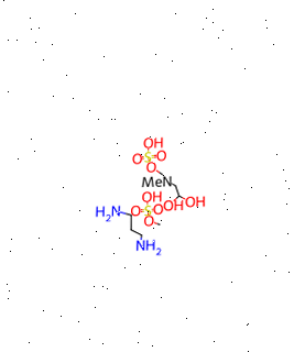 CNCC(O)O.COS(=O)(=O)O.COS(=O)(=O)O.NCCCN